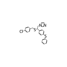 Clc1ccc(CSC(Cn2ccnc2)c2ccc(Sc3ccccc3)cc2)cc1